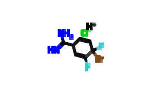 N=C(N)C1C=CC(F)(Br)C(F)=C1.[Cl-].[H+]